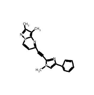 Cc1nn2ccc(C#Cc3nc(-c4ccccc4)cn3C)nc2c1C